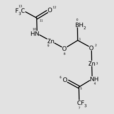 BC([O][Zn][NH]C(=O)C(F)(F)F)[O][Zn][NH]C(=O)C(F)(F)F